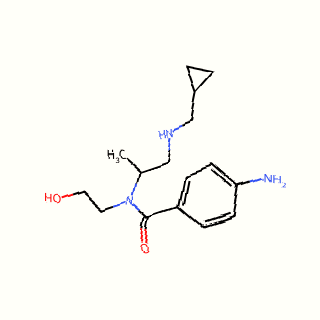 CC(CNCC1CC1)N(CCO)C(=O)c1ccc(N)cc1